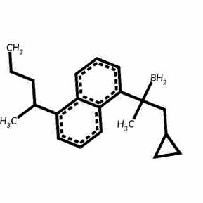 BC(C)(CC1CC1)c1cccc2c(C(C)CCC)cccc12